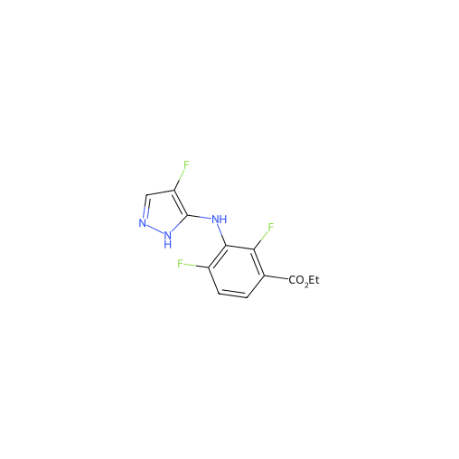 CCOC(=O)c1ccc(F)c(Nc2[nH]ncc2F)c1F